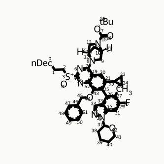 CCCCCCCCCCCC[S+]([O-])c1nc(N2C[C@@H]3C[C@H]2CN3C(=O)OC(C)(C)C)c2cc(C3CC3)c(-c3c(C)c(F)cc4c3cnn4C3CCCCO3)c(OCc3ccccc3)c2n1